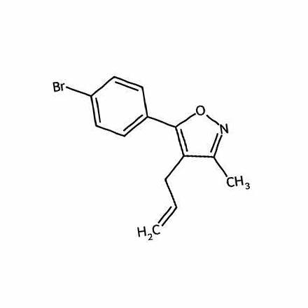 C=CCc1c(C)noc1-c1ccc(Br)cc1